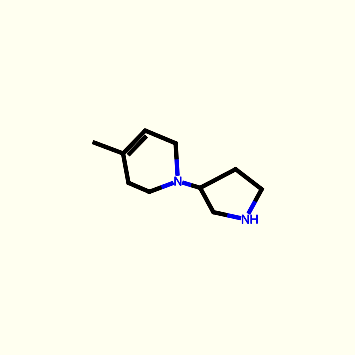 CC1=CCN(C2CCNC2)CC1